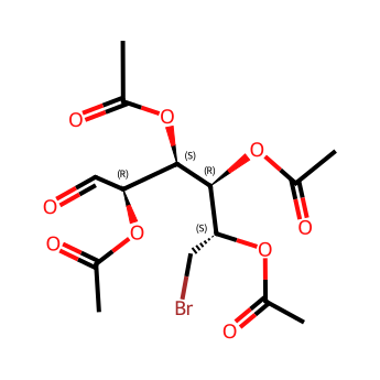 CC(=O)O[C@H]([C@H](OC(C)=O)[C@H](C=O)OC(C)=O)[C@@H](CBr)OC(C)=O